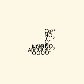 O=[N+]([O-])[O-].O=[N+]([O-])[O-].O=[N+]([O-])[O-].O=[N+]([O-])[O-].O=[N+]([O-])[O-].[Al+3].[Co+2]